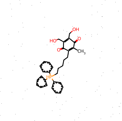 CC1=C(CCCCC[PH](c2ccccc2)(c2ccccc2)c2ccccc2)C(=O)C(CO)=C(CO)C1=O